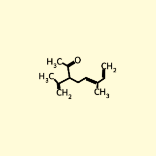 C=CC(C)=CCC(C(=C)C)C(C)=O